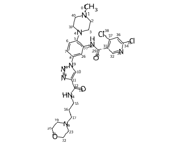 CN1CCN(c2ccc(-n3cc(C(=O)NCCCN4CCOCC4)nn3)cc2NC(=O)c2cnc(Cl)cc2Cl)CC1